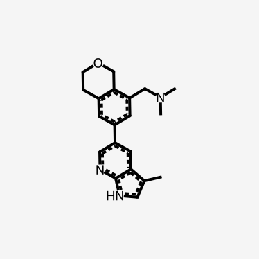 Cc1c[nH]c2ncc(-c3cc4c(c(CN(C)C)c3)COCC4)cc12